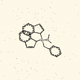 C[N](C)[Zr]([CH2]c1ccccc1)([CH]1C=Cc2ccccc21)[CH]1C=Cc2ccccc21